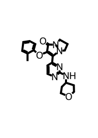 Cc1ccccc1Oc1c(-c2ccnc(NC3CCOCC3)n2)n2n(c1=O)CCC2